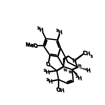 [2H]c1c([2H])c(OC)c2c3c1C[C@H]1N(C)CC[C@@]34C([2H])(O2)C([2H])(O)C=C[C@@]14[2H]